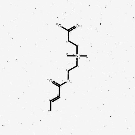 CC=CC(=O)OCC[N+](C)(C)CCC(=O)[O-]